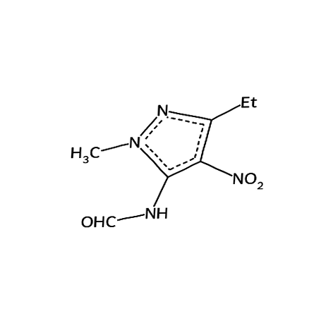 CCc1nn(C)c(NC=O)c1[N+](=O)[O-]